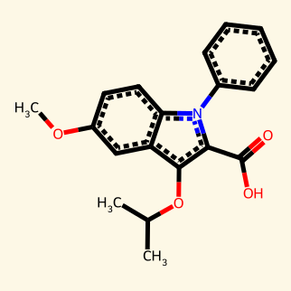 COc1ccc2c(c1)c(OC(C)C)c(C(=O)O)n2-c1ccccc1